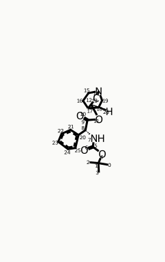 CC(C)(C)OC(=O)N[C@@H](C(=O)O[C@H]1CN2CCC1CC2)c1ccccc1